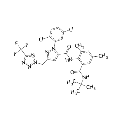 Cc1cc(C)c(NC(=O)c2cc(Cn3nnc(C(F)(F)F)n3)nn2-c2cc(Cl)ccc2Cl)c(C(=O)NC(C)(C)C)c1